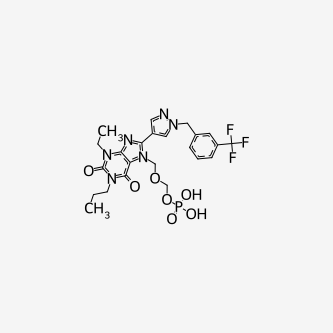 CCCn1c(=O)c2c(nc(-c3cnn(Cc4cccc(C(F)(F)F)c4)c3)n2COCOP(=O)(O)O)n(CC)c1=O